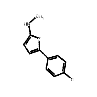 CNc1ccc(-c2ccc(Cl)cc2)s1